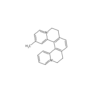 Cc1cc[n+]2c(c1)-c1c(ccc3c1-c1cccc[n+]1CC3)CC2